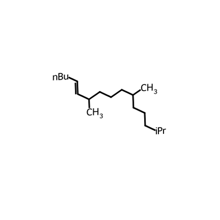 [CH2]CCCC=CC(C)CCCC(C)CCCC(C)C